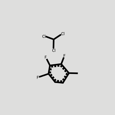 Cc1ccc(F)c(F)c1F.ClC(Cl)Cl